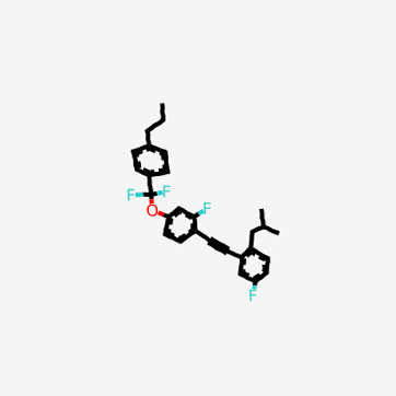 CCCc1ccc(C(F)(F)Oc2ccc(C#Cc3cc(F)ccc3CC(C)C)c(F)c2)cc1